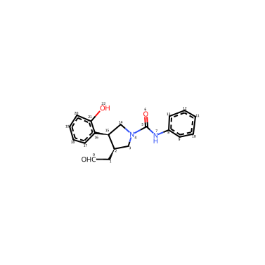 O=CC[C@@H]1CN(C(=O)Nc2ccccc2)C[C@@H]1c1ccccc1O